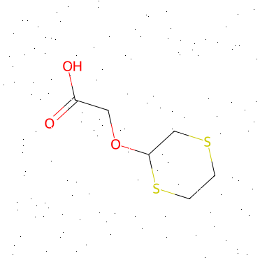 O=C(O)COC1CSCCS1